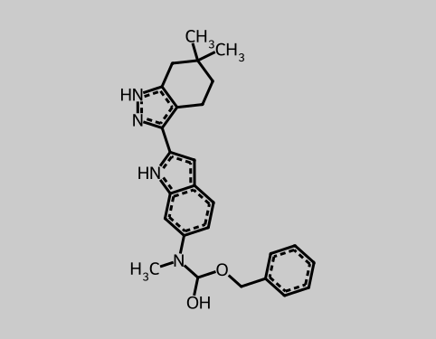 CN(c1ccc2cc(-c3n[nH]c4c3CCC(C)(C)C4)[nH]c2c1)C(O)OCc1ccccc1